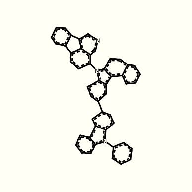 c1ccc(-n2c3ccccc3c3cc(-c4ccc5c(c4)c4c6ccccc6ccc4n5-c4ccc5c6c(cncc46)-c4ccccc4-5)ccc32)cc1